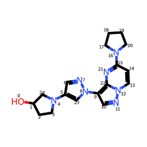 OC1CCN(c2cnn(-c3cnn4ccc(N5CCCC5)nc34)c2)C1